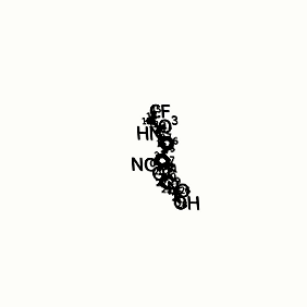 N#Cc1cc(-c2cccc(NC(=O)C3CC3C(F)(F)F)c2)ccc1O[C@H]1CCN(C(=O)CO)C[C@H]1F